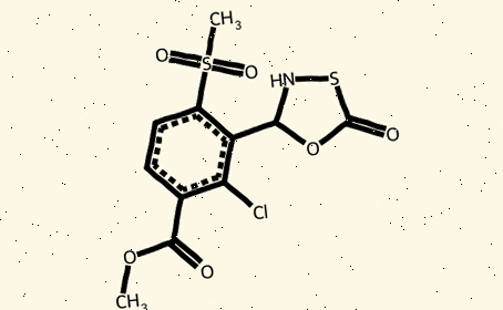 COC(=O)c1ccc(S(C)(=O)=O)c(C2NSC(=O)O2)c1Cl